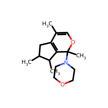 CC1=COC(C)(N2CCOCC2)C2=C1CC(C)C2C